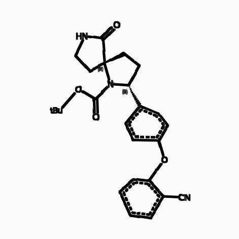 CC(C)(C)OC(=O)N1[C@@H](c2ccc(Oc3ccccc3C#N)cc2)CC[C@]12CCNC2=O